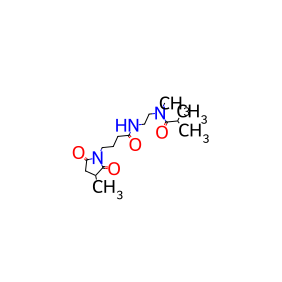 CC(C)C(=O)N(C)CCNC(=O)CCCN1C(=O)CC(C)C1=O